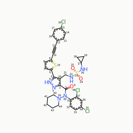 O=C(c1n[nH]c(-c2ccc(C#Cc3ccc(Cl)cc3)s2)c1CNS(=O)(=O)NC1CC1)N(c1ccc(Cl)cc1Cl)N1CCCCC1